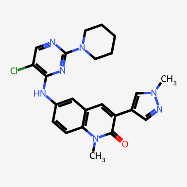 Cn1cc(-c2cc3cc(Nc4nc(N5CCCCC5)ncc4Cl)ccc3n(C)c2=O)cn1